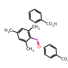 Cc1cc(C)c(I=O)c(C)c1.O=C(O)c1ccccc1.O=C(O)c1ccccc1